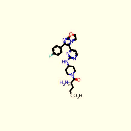 N[C@@H](CCC(=O)O)C(=O)N1CCC(Nc2nccc(-c3c(-c4ccc(F)cc4)nc4occn34)n2)CC1